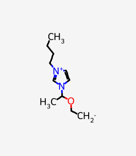 [CH2]COC(C)n1cc[n+](CCCC)c1